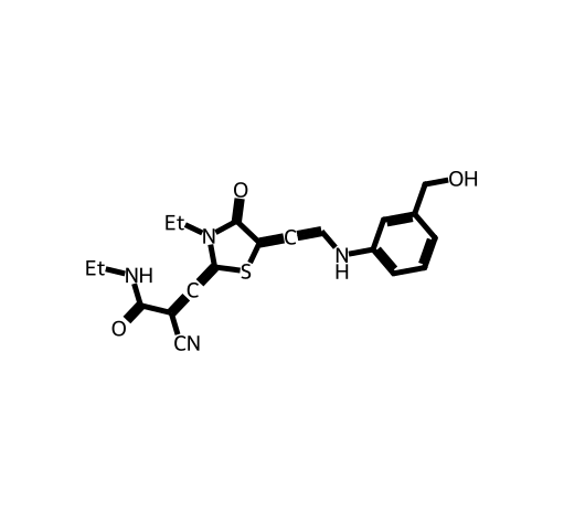 CCNC(=O)C(=C=c1sc(=C=CNc2cccc(CO)c2)c(=O)n1CC)C#N